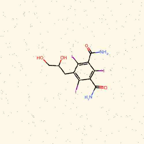 NC(=O)c1c(I)c(CC(O)CO)c(I)c(C(N)=O)c1I